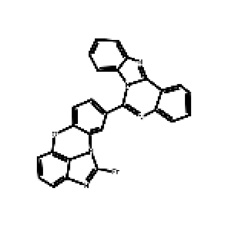 CCc1nc2cccc3c2n1-c1cc(-c2nc4ccccc4c4nc5ccccc5n24)ccc1O3